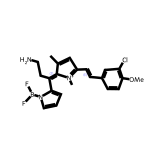 COc1ccc(/C=C/C2=[N+](C)C(=C(/CCN)c3cccn3B(F)F)/C(C)=C2)cc1Cl